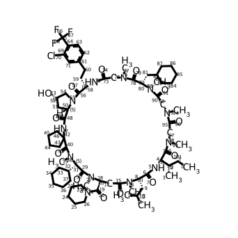 CC[C@H](C)[C@@H]1NC(=O)[C@H](CC(C)C)N(C)C(=O)C[C@@H](C(=O)N2CCCCC2)N(C)C(=O)[C@H](C2CCCCC2)N(C)C(=O)C2(CCCC2)NC(=O)[C@@H]2C[C@H](O)CN2C(=O)[C@H](CCc2ccc(C(F)(F)F)c(Cl)c2)NC(=O)CN(C)C(=O)[C@H](CC2CCCCC2)N(C)C(=O)CN(C)C(=O)CN(C)C1=O